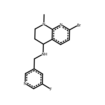 CN1CCC(NCc2cncc(F)c2)c2ccc(Br)nc21